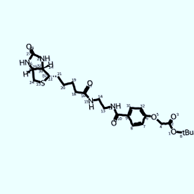 CC(C)(C)OC(=O)COc1ccc(C(=O)NCCNC(=O)CCCC[C@@H]2SC[C@@H]3NC(=O)N[C@@H]32)cc1